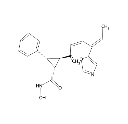 C=C(/C=C\C(=C/C)c1cnco1)[C@H]1[C@H](C(=O)NO)[C@@H]1c1ccccc1